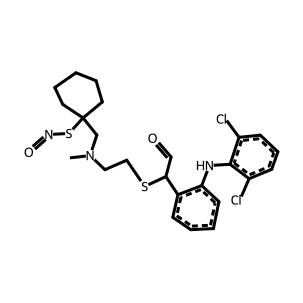 CN(CCSC(C=O)c1ccccc1Nc1c(Cl)cccc1Cl)CC1(SN=O)CCCCC1